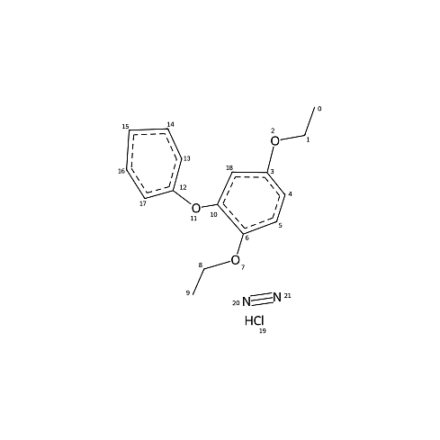 CCOc1ccc(OCC)c(Oc2ccccc2)c1.Cl.N#N